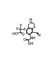 N#Cc1c(NC(=O)O)ccc2c1CCNC2.O=C(O)C(F)(F)F